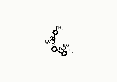 Cc1ccc(-c2nc(CO[C@H]3CCC[C@@H](OCc4cccc(C)c4C(=O)OC(C)(C)C)C3)c(C)o2)cc1